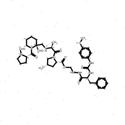 C[C@H]1C[C@@H](C(=O)OCNNC(=O)[C@H](Cc2ccccc2)NC(=O)Nc2ccc(OC(F)(F)F)cc2)N(C(=O)[C@H](C)NC[C@@]2(C=O)CCCCN2C(=O)[C@@H]2CCCN2C=O)C1